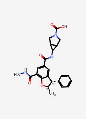 CNC(=O)c1cc(C(=O)NC2C3CN(C(=O)O)CC32)cc2c1O[C@H](C)[C@H]2c1ccccc1